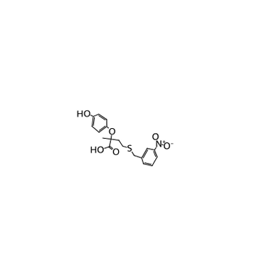 CC(CCSCc1cccc([N+](=O)[O-])c1)(Oc1ccc(O)cc1)C(=O)O